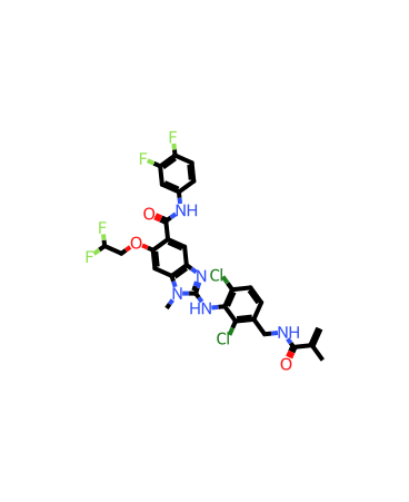 C=C(C)C(=O)NCc1ccc(Cl)c(Nc2nc3cc(C(=O)Nc4ccc(F)c(F)c4)c(OCC(F)F)cc3n2C)c1Cl